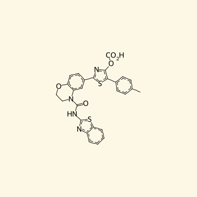 Cc1ccc(-c2sc(-c3ccc4c(c3)N(C(=O)Nc3nc5ccccc5s3)CCO4)nc2OC(=O)O)cc1